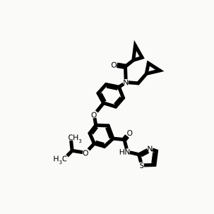 CC(C)Oc1cc(Oc2ccc(N(CC3CC3)C(=O)C3CC3)cc2)cc(C(=O)Nc2nccs2)c1